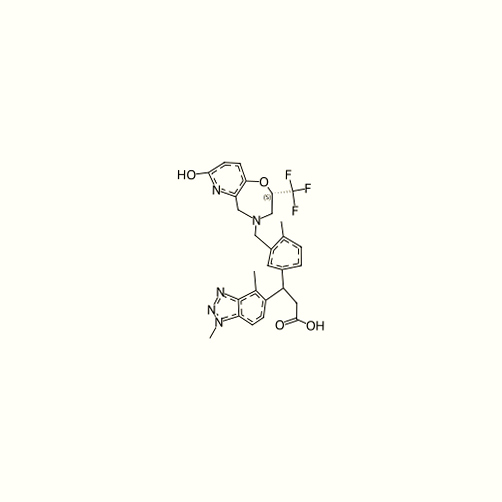 Cc1ccc(C(CC(=O)O)c2ccc3c(nnn3C)c2C)cc1CN1Cc2nc(O)ccc2O[C@H](C(F)(F)F)C1